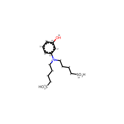 O=S(=O)(O)CCCCN(CCCCS(=O)(=O)O)c1cccc(O)c1